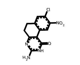 Nc1nc2c(c(=O)[nH]1)-c1cc([N+](=O)[O-])c(Cl)cc1CC2